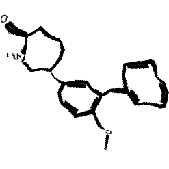 COc1ccc([C@@H]2CCC(=O)NC2)cc1-c1ccccc1